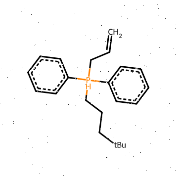 C=CC[PH](CCCC(C)(C)C)(c1ccccc1)c1ccccc1